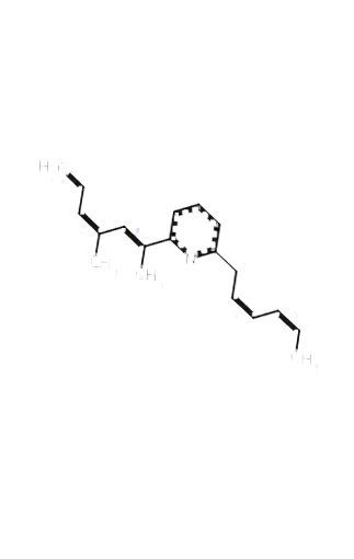 C=C/C=C(C)\C=C(/C)c1cccc(C/C=C\C=C/C)n1